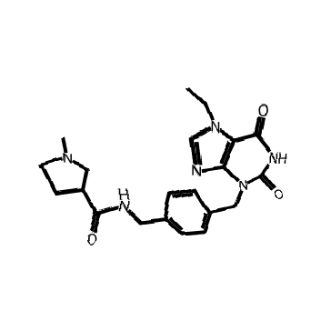 CCn1cnc2c1c(=O)[nH]c(=O)n2Cc1ccc(CNC(=O)C2CCN(C)C2)cc1